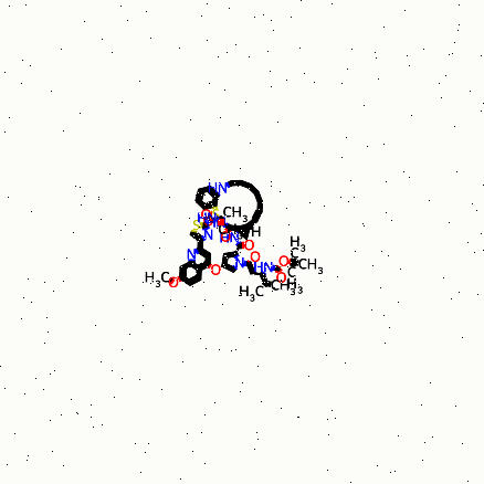 COc1ccc2c(O[C@@H]3C[C@@H](C(=O)N[C@]45C[C@H]4/C=C\CCCCCNc4ccccc4S(=O)(=O)NC5=O)N(C(=O)C[C@@H](NC(=O)OC(C)(C)C)C(C)C)C3)cc(-c3csc(NC(C)C)n3)nc2c1